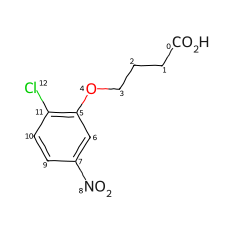 O=C(O)CCCOc1cc([N+](=O)[O-])ccc1Cl